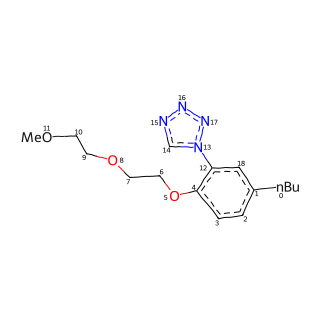 CCCCc1ccc(OCCOCCOC)c(-n2cnnn2)c1